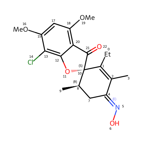 CCC1=C(C)/C(=N/O)C[C@@H](C)[C@]12Oc1c(Cl)c(OC)cc(OC)c1C2=O